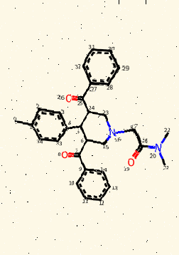 Cc1ccc(C2C(C(=O)c3ccccc3)CN(CC(=O)N(C)C)CC2C(=O)c2ccccc2)cc1